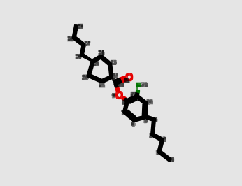 CCCCCc1ccc(OC(=O)[C@H]2CC[C@H](CCCC)CC2)c(F)c1